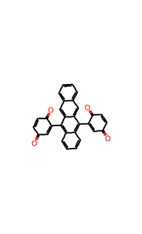 O=C1C=CC(=O)C(c2c3ccccc3c(C3=CC(=O)C=CC3=O)c3cc4ccccc4cc23)=C1